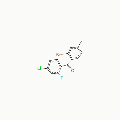 Cc1ccc(C(=O)c2ccc(Cl)cc2F)c(Br)c1